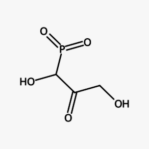 O=C(CO)C(O)P(=O)=O